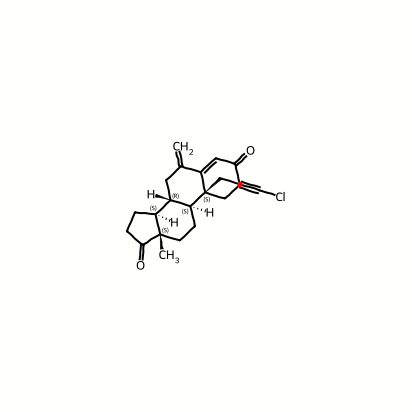 C=C1C[C@@H]2[C@H](CC[C@]3(C)C(=O)CC[C@@H]23)[C@@]2(CC#CCl)CCC(=O)C=C12